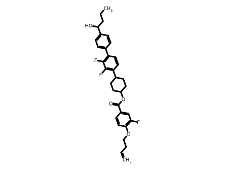 C=CCCOc1ccc(C(=O)OC2CCC(c3ccc(-c4ccc(C(O)CCC)cc4)c(F)c3F)CC2)cc1F